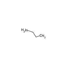 CC[CH2][InH2]